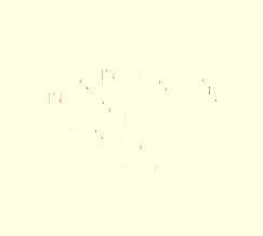 CNc1nc(NC2C3CC(C)C2CN(c2cnnc(OC)c2)C3)nc2c1C(C)(C)CN2c1ccc(F)cc1F